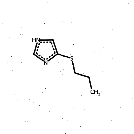 [CH2]CCSc1c[nH]cn1